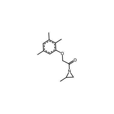 Cc1cc(C)c(C)c(OCC(=O)N2CC2C)c1